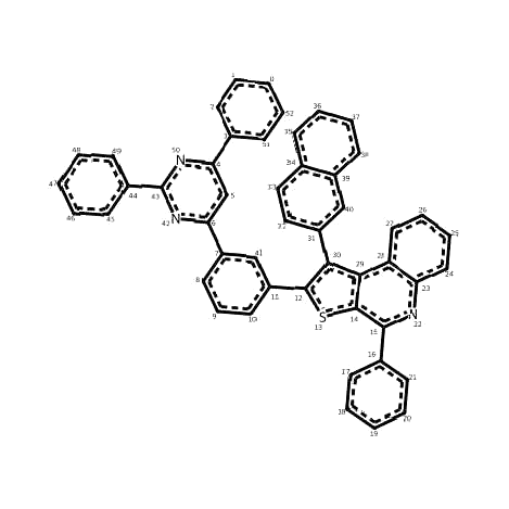 c1ccc(-c2cc(-c3cccc(-c4sc5c(-c6ccccc6)nc6ccccc6c5c4-c4ccc5ccccc5c4)c3)nc(-c3ccccc3)n2)cc1